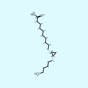 CCCCCC[C@H]1C[C@H]1CCCCCCCCCC(=O)O